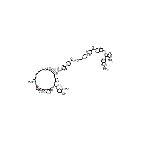 CO[C@H]1C[C@@H]2CC[C@@H](C)[C@@](O)(O2)C(=O)C(=O)N2CCCC[C@H]2C(=O)O[C@H]([C@H](N)C[C@@H]2CC[C@@H](O)[C@H](OC)C2)CC(=O)[C@H](C)/C=C(\C)[C@@H](OC(=O)NCc2cnc(N3CCN(C(=O)CCOCCN4CCN(c5ncc(C(=O)N6CCc7cc(Cn8nc(-c9ccc%10oc(N)nc%10c9)c9c(N)ncnc98)ccc7C6)cn5)CC4)CC3)nc2)[C@@H](O)C(=O)[C@H](C)C[C@H](C)/C=C/C=C/C=C/1C